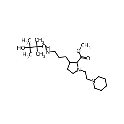 COC(=O)C1C(CCCNOC(C)(C)C(C)(C)O)CCN1CCN1CCCCC1